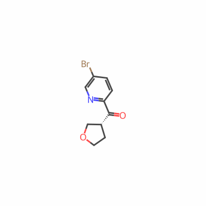 O=C(c1ccc(Br)cn1)[C@@H]1CCOC1